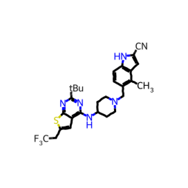 Cc1c(CN2CCC(Nc3nc(C(C)(C)C)nc4sc(CC(F)(F)F)cc34)CC2)ccc2[nH]c(C#N)cc12